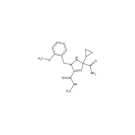 CNC(=O)C1=CC(C(N)=O)(C2CC2)NN1Cc1ccccc1OC